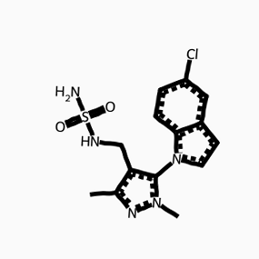 Cc1nn(C)c(-n2ccc3cc(Cl)ccc32)c1CNS(N)(=O)=O